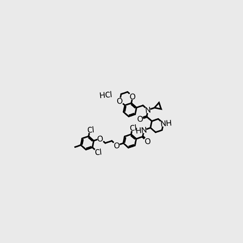 Cc1cc(Cl)c(OCCOc2ccc(C(=O)NC3CCNCC3C(=O)N(Cc3cccc4c3OCCO4)C3CC3)c(Cl)c2)c(Cl)c1.Cl